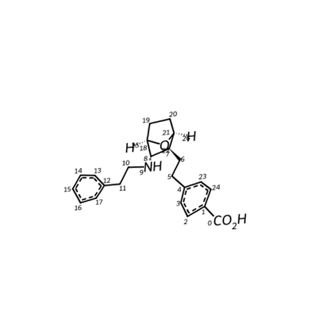 O=C(O)c1ccc(CC[C@H]2[C@H](NCCc3ccccc3)[C@H]3CC[C@@H]2O3)cc1